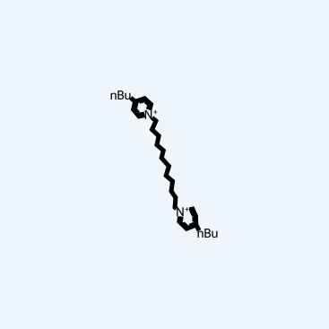 CCCCc1cc[n+](CCCCCCCCCCCC[n+]2ccc(CCCC)cc2)cc1